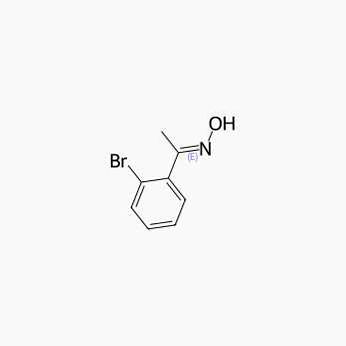 C/C(=N\O)c1ccccc1Br